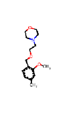 [CH2]c1ccc([CH]OCCN2CCOCC2)c(OC)c1